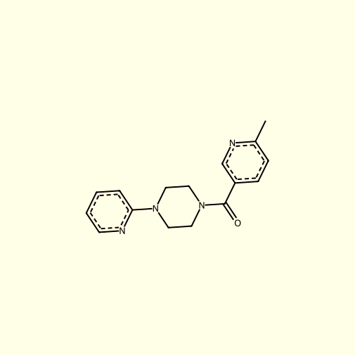 Cc1ccc(C(=O)N2CCN(c3ccccn3)CC2)cn1